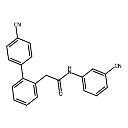 N#Cc1ccc(-c2ccccc2CC(=O)Nc2cccc(C#N)c2)cc1